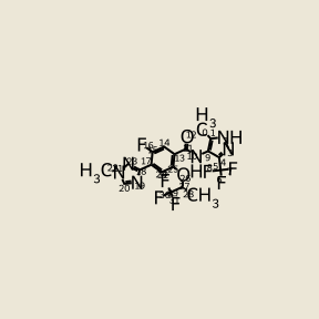 Cc1[nH]nc(C(F)(F)F)c1NC(=O)c1cc(F)c(-c2ncn(C)n2)cc1O[C@@H](C)C(F)(F)F